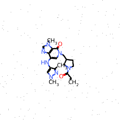 C=CC(=O)N1CCC(Cn2cc(Nc3cn(C)nc3C)c3ncn(C)c3c2=O)C1